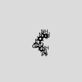 Nc1nc2cc(F)c(C(=O)N3CCOCC3C3=CC=C(OC(F)F)NC3)cc2c2c1COC2